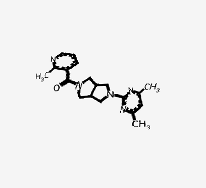 Cc1cc(C)nc(N2CC3CN(C(=O)c4cccnc4C)CC3C2)n1